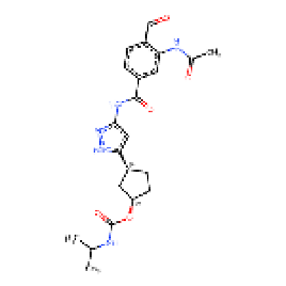 CC(=O)Nc1cc(C(=O)Nc2cc([C@H]3CC[C@@H](OC(=O)NC(C)C)C3)[nH]n2)ccc1C=O